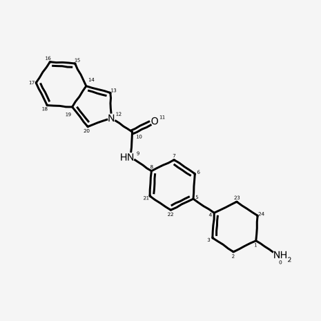 NC1CC=C(c2ccc(NC(=O)n3cc4ccccc4c3)cc2)CC1